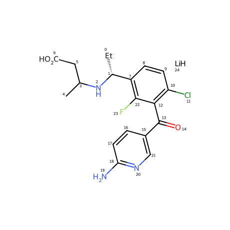 CC[C@@H](NC(C)CC(=O)O)c1ccc(Cl)c(C(=O)c2ccc(N)nc2)c1F.[LiH]